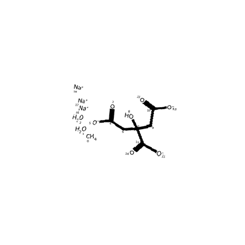 C.O.O.O=C([O-])CC(O)(CC(=O)[O-])C(=O)[O-].[Na+].[Na+].[Na+]